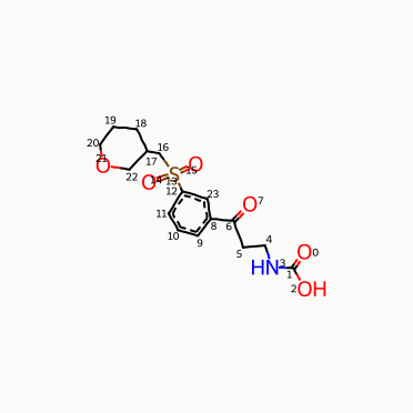 O=C(O)NCCC(=O)c1cccc(S(=O)(=O)CC2CCCOC2)c1